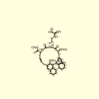 COC(=O)[C@@H]1CC=CCc2cc3ccccc3c(c2OC)-c2c(OC)c(cc3ccccc23)CC(NC(C)=O)C(=O)N[C@@H](CCCNC(=N)NCl)C(=O)N1